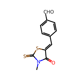 CN1C(=O)C(=Cc2ccc(C=O)cc2)SC1=S